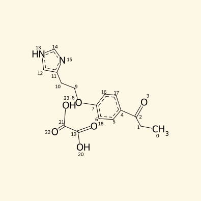 CCC(=O)c1ccc(OCCc2c[nH]cn2)cc1.O=C(O)C(=O)O